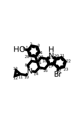 Oc1cccc(C23CCN(CC4CC4)CC2Cc2c([nH]c4cccc(Br)c24)C3)c1